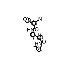 CCN1CCCC1CNC(=O)c1cc(-c2cc(NC(=O)c3cc(C#N)cc(N4CCOCC4)c3)ccc2C)no1